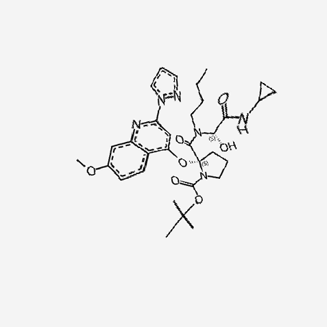 CCCCN(C(=O)[C@@]1(Oc2cc(-n3cccn3)nc3cc(OC)ccc23)CCCN1C(=O)OC(C)(C)C)[C@@H](O)C(=O)NC1CC1